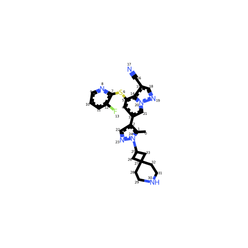 Cc1c(-c2cc(Sc3ncccc3F)c3c(C#N)cnn3c2)cnn1C1CC2(CCNCC2)C1